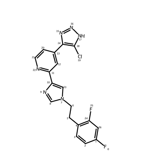 Fc1ccc(CCn2cnc(-c3cc(-c4nn[nH]c4Cl)ccn3)c2)c(F)c1